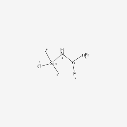 CCCC(F)N[Si](C)(C)Cl